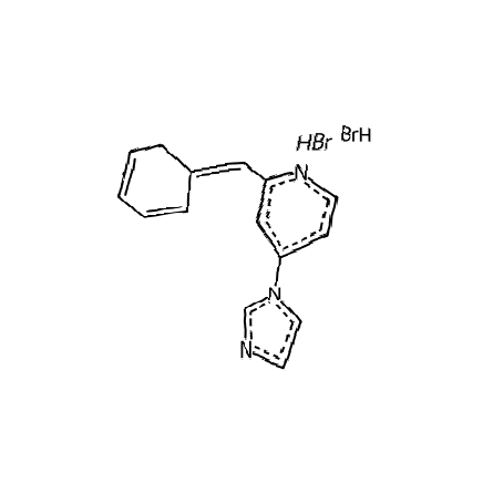 Br.Br.C1=CCC(=Cc2cc(-n3ccnc3)ccn2)C=C1